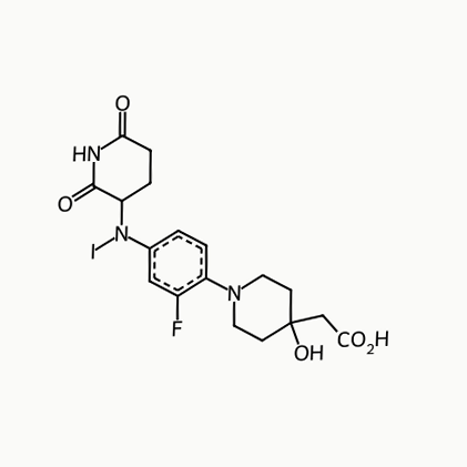 O=C(O)CC1(O)CCN(c2ccc(N(I)C3CCC(=O)NC3=O)cc2F)CC1